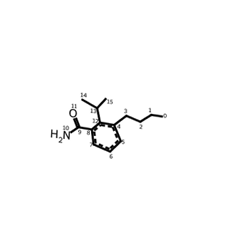 CCCCc1cccc(C(N)=O)c1C(C)C